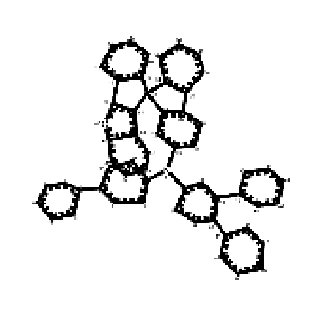 c1ccc(-c2ccc(N(c3ccc(-c4ccccc4)c(-c4ccccc4)c3)c3ccc4c(c3)C3(c5ccccc5-4)c4ccccc4-c4oc5ccccc5c43)cc2)cc1